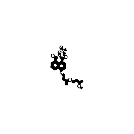 C=C(CCSc1ccc2c3c(cccc13)C(=O)N(OS(C)(=O)=O)C2=O)OCCC(C)OC